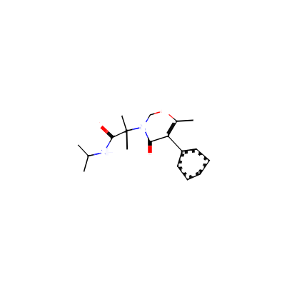 CC1=C(c2ccccc2)C(=O)N(C(C)(C)C(=O)NC(C)C)CO1